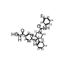 O=C(NO)c1cnc(NC2(C3=CC=CCC3)CCN(C(=O)Nc3cccc(F)c3)CC2)nc1